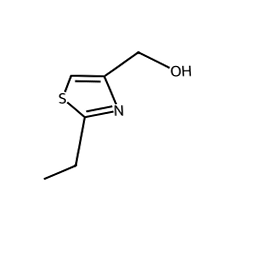 CCc1nc(CO)cs1